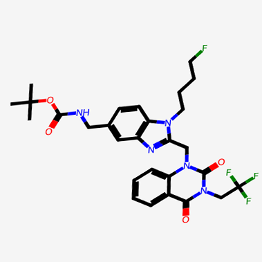 CC(C)(C)OC(=O)NCc1ccc2c(c1)nc(Cn1c(=O)n(CC(F)(F)F)c(=O)c3ccccc31)n2CCCCF